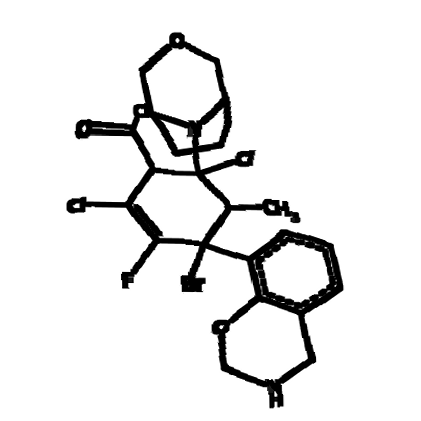 CC1C(Br)(c2cccc3c2OCNC3)C(F)=C(Cl)C(C(=O)Cl)C1(Cl)N1C2CCC1COC2